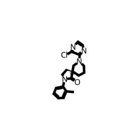 Cc1ccccc1N1CC[C@@]2(CCCN(c3nccnc3Cl)C2)C1=O